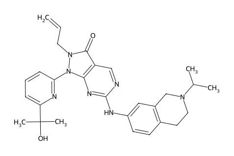 C=CCn1c(=O)c2cnc(Nc3ccc4c(c3)CN(C(C)C)CC4)nc2n1-c1cccc(C(C)(C)O)n1